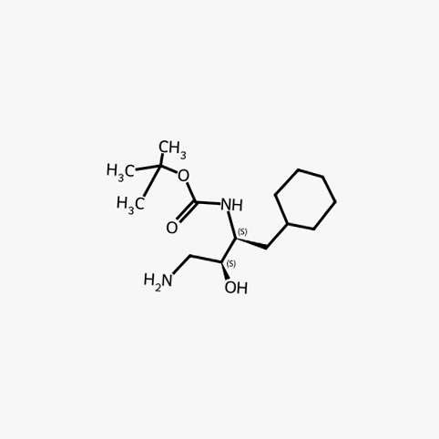 CC(C)(C)OC(=O)N[C@@H](CC1CCCCC1)[C@@H](O)CN